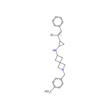 CC/C(=C\c1ccccc1)C1CC1NC1CC2(C1)CN(Cc1ccc(C(=O)O)cc1)C2